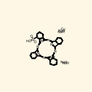 O=S(=O)(O)c1cccc2c3nc4nc(nc5[nH]c(nc6nc(nc([nH]3)c12)-c1ccccc1-6)c1ccccc51)-c1ccccc1-4.[Cu].[NaH].[NaH].[NaH].[NaH]